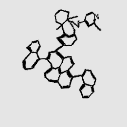 Cc1cc(N2c3ccc(-c4cc(-c5cccc6ccccc56)c5ccc6ccc(-c7cccc8ccccc78)c7ccc4c5c67)cc3C3(C)CCCCC23C)ccn1